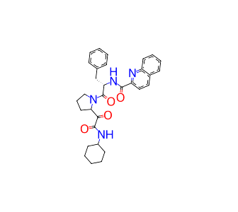 O=C(NC1CCCCC1)C(=O)C1CCCN1C(=O)[C@H](Cc1ccccc1)NC(=O)c1ccc2ccccc2n1